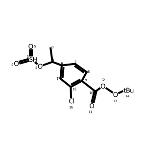 CC(O[SH](=O)=O)c1ccc(C(=O)OOC(C)(C)C)c(Cl)c1